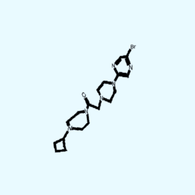 O=C(CN1CCN(c2cnc(Br)cn2)CC1)N1CCN(C2CCC2)CC1